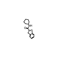 O=C(NC1CCCCC1)N1Cc2ccccc2S1